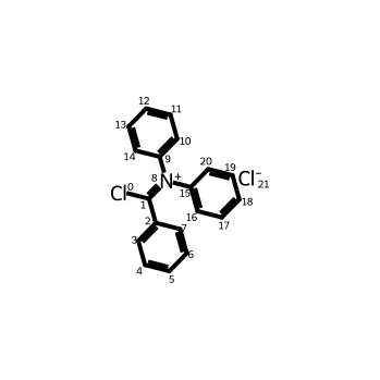 ClC(c1ccccc1)=[N+](c1ccccc1)c1ccccc1.[Cl-]